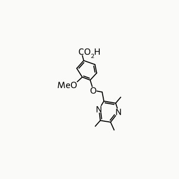 COc1cc(C(=O)O)ccc1OCc1nc(C)c(C)nc1C